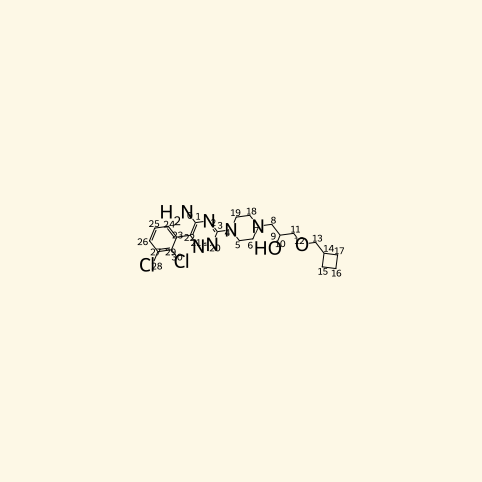 Nc1nc(N2CCN(CC(O)COCC3CCC3)CC2)nnc1-c1cccc(Cl)c1Cl